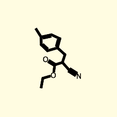 CCOC(=O)C(C#N)Cc1ccc(C)cc1